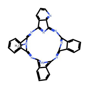 Cn1c2nc3nc(nc4nc(nc5[nH]c(nc1c1ccccc12)c1ccccc51)-c1ccccc1-4)-c1ncccc1-3